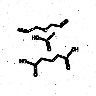 C=CCOCC=C.CC(=O)O.O=C(O)CCCC(=O)O